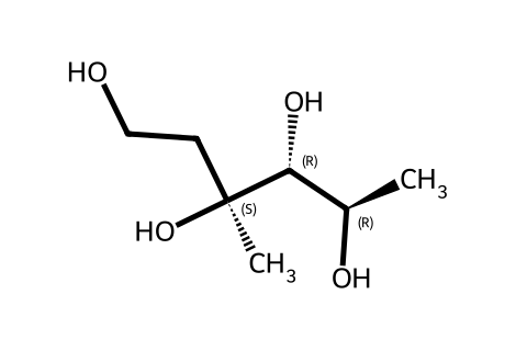 C[C@@H](O)[C@@H](O)[C@@](C)(O)CCO